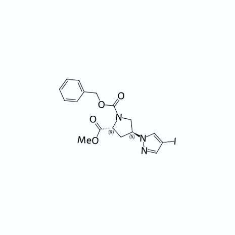 COC(=O)[C@H]1C[C@H](n2cc(I)cn2)CN1C(=O)OCc1ccccc1